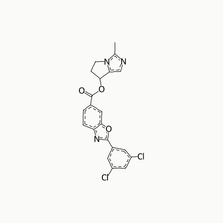 Cc1ncc2n1CCC2OC(=O)c1ccc2nc(-c3cc(Cl)cc(Cl)c3)oc2c1